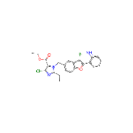 CCOC(=O)c1c(Cl)nc(CC)n1Cc1ccc2oc(-c3ccccc3N)c(Br)c2c1